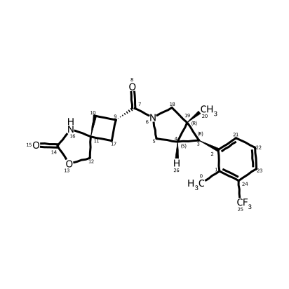 Cc1c([C@H]2[C@@H]3CN(C(=O)[C@H]4C[C@]5(COC(=O)N5)C4)C[C@@]32C)cccc1C(F)(F)F